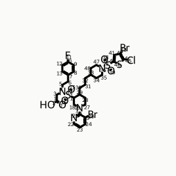 O=C(O)CN(CCc1ccc(F)cc1)S(=O)(=O)C1CN(c2ncccc2Br)CCC1CCCC1CCN(S(=O)(=O)c2cc(Br)c(Cl)s2)CC1